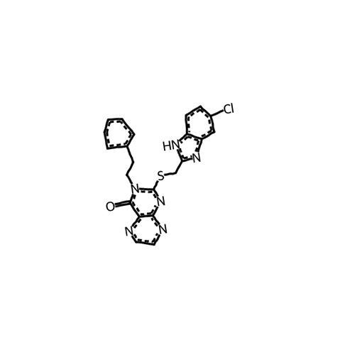 O=c1c2nccnc2nc(SCc2nc3cc(Cl)ccc3[nH]2)n1CCc1ccccc1